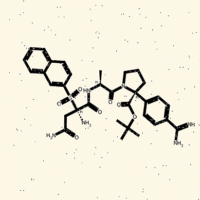 C[C@H](NC(=O)[C@@](N)(CC(N)=O)S(=O)(=O)c1ccc2ccccc2c1)C(=O)N1CCC[C@]1(C(=O)OC(C)(C)C)c1ccc(C(=N)N)cc1